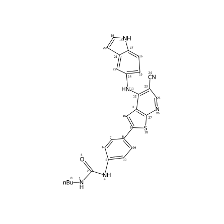 CCCCNC(=O)Nc1ccc(-c2cc3c(Nc4ccc5[nH]ccc5c4)c(C#N)cnc3s2)cc1